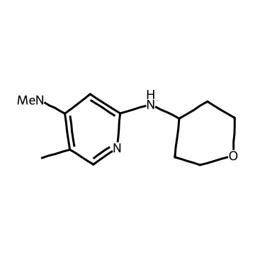 CNc1cc(NC2CCOCC2)ncc1C